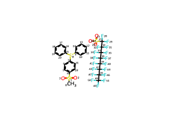 CS(=O)(=O)c1ccc([S+](c2ccccc2)c2ccccc2)cc1.O=S(=O)([O-])C(F)(F)C(F)(F)C(F)(F)C(F)(F)C(F)(F)C(F)(F)C(F)(F)C(F)(F)F